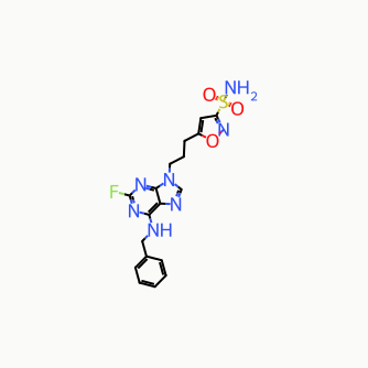 NS(=O)(=O)c1cc(CCCn2cnc3c(NCc4ccccc4)nc(F)nc32)on1